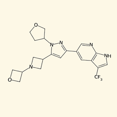 FC(F)(F)c1c[nH]c2ncc(-c3cc(C4CN(C5COC5)C4)n(C4CCOC4)n3)cc12